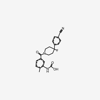 Cc1ccc(C(=O)N2CCC(F)(c3ccc(C#N)cc3)CC2)cc1NC(=O)O